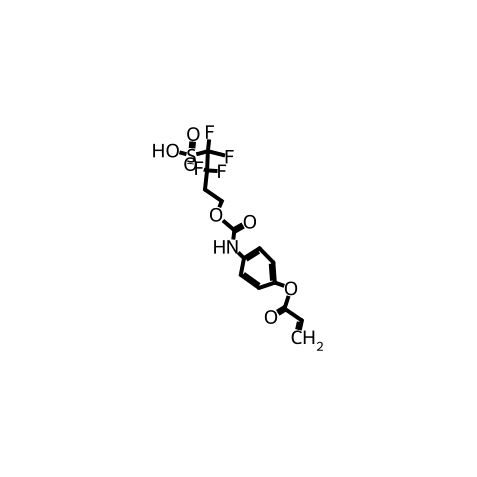 C=CC(=O)Oc1ccc(NC(=O)OCCC(F)(F)C(F)(F)S(=O)(=O)O)cc1